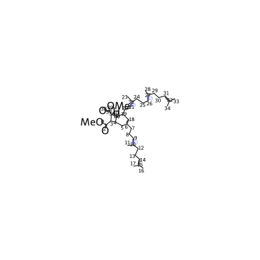 COC(=O)C1C2CC(CC/C=C(\C)CCC=C(C)C)=CC(C/C=C(\C)CC/C=C(\C)CCC=C(C)C)[C@@H]2C1C(=O)OC